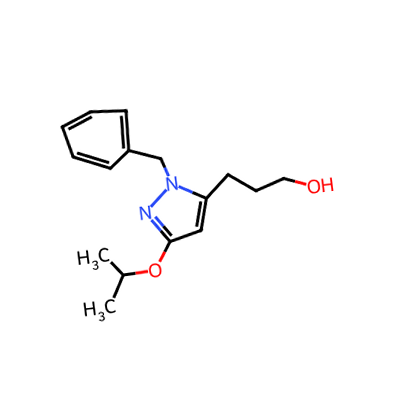 CC(C)Oc1cc(CCCO)n(Cc2ccccc2)n1